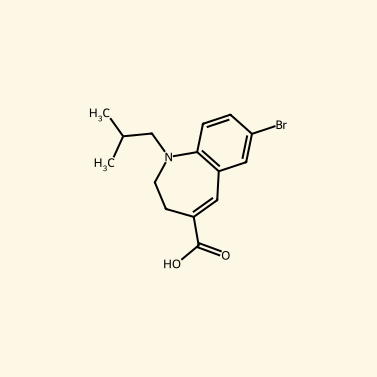 CC(C)CN1CCC(C(=O)O)=Cc2cc(Br)ccc21